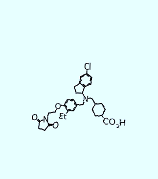 CCc1cc(CN(CC2CCC(C(=O)O)CC2)[C@H]2CCc3cc(Cl)ccc32)ccc1OCCN1C(=O)CCC1=O